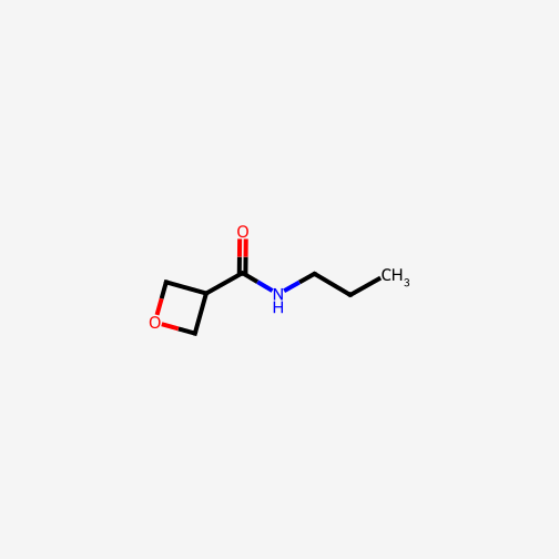 CCCNC(=O)C1COC1